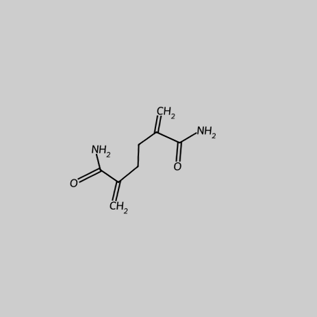 C=C(CCC(=C)C(N)=O)C(N)=O